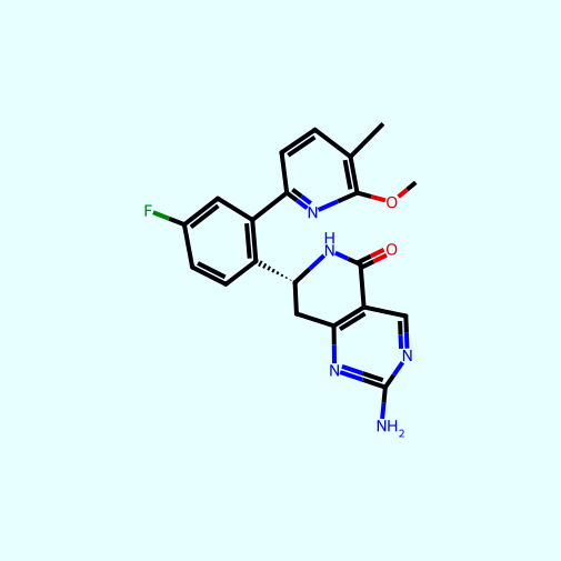 COc1nc(-c2cc(F)ccc2[C@H]2Cc3nc(N)ncc3C(=O)N2)ccc1C